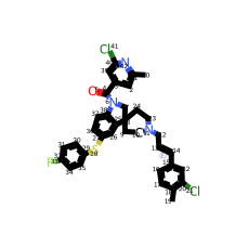 Cc1cc(C(=O)N2CC3(CCN(C/C=C/c4ccc(C)c(Cl)c4)CC3)c3cc(Sc4ccc(F)cc4)ccc32)cc(Cl)n1